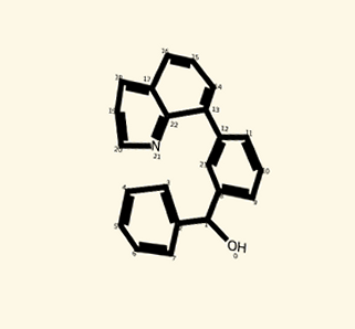 OC(c1ccccc1)c1cccc(-c2cccc3cccnc23)c1